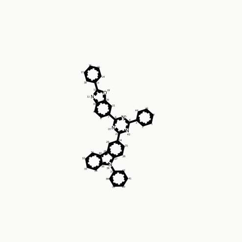 c1ccc(-c2nc(-c3ccc4nc(-c5ccccc5)oc4c3)nc(-c3ccc4c(c3)c3ccccc3n4-c3ccccc3)n2)cc1